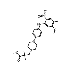 COC(=O)C(C)(C)CN1CCN(c2ccc(Nc3cc(OC)c(F)cc3[N+](=O)[O-])cc2)CC1